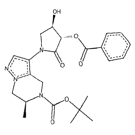 C[C@H]1Cn2ncc(N3C[C@@H](O)[C@H](OC(=O)c4ccccc4)C3=O)c2CN1C(=O)OC(C)(C)C